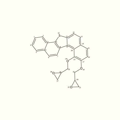 c1ccc2c(c1)ccc1c2sc2ccc3ccc(OCC4CO4)c(OCC4CO4)c3c21